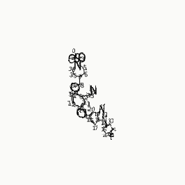 CS(=O)(=O)N1CCC(COc2ccc(Oc3ccc4c(c3)ncn4-c3ccc(F)cc3)cc2C#N)CC1